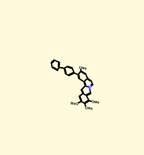 COc1cc2cc[n+]3cc4c(OC)c(OC)c(OC)cc4cc3c2cc1-c1ccc(-c2ccccc2)cc1